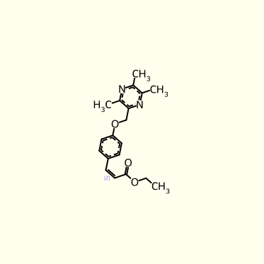 CCOC(=O)/C=C\c1ccc(OCc2nc(C)c(C)nc2C)cc1